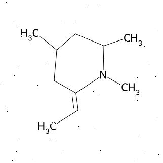 CC=C1CC(C)CC(C)N1C